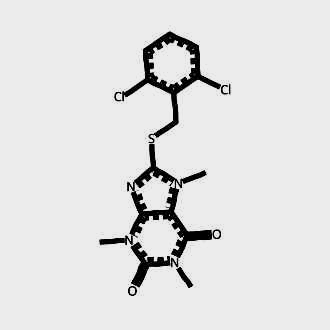 Cn1c(=O)c2c(nc(SCc3c(Cl)cccc3Cl)n2C)n(C)c1=O